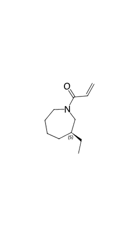 C=CC(=O)N1CCCC[C@H](CC)C1